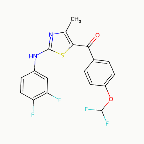 Cc1nc(Nc2ccc(F)c(F)c2)sc1C(=O)c1ccc(OC(F)F)cc1